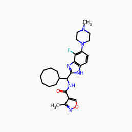 Cc1nocc1C(=O)NC(c1nc2c(F)c(N3CCN(C)CC3)ccc2[nH]1)C1CCCCCCC1